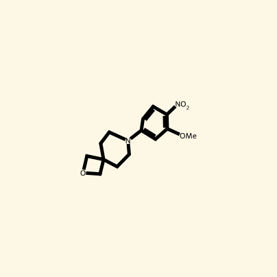 COc1cc(N2CCC3(CC2)COC3)ccc1[N+](=O)[O-]